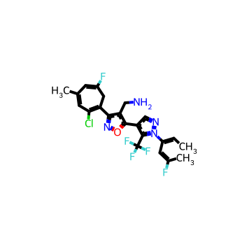 C/C=C(\C=C(/C)F)n1ncc(-c2onc(C3=C(Cl)C=C(C)C=C(F)C3)c2CN)c1C(F)(F)F